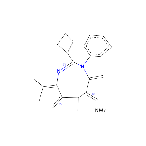 C=C1/C(=C/C)C(=C(C)C)/N=C(/C2CCC2)N(c2ccccc2)C(=C)/C1=C/NC